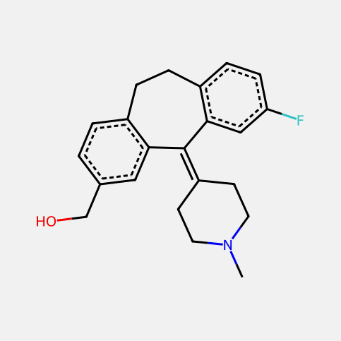 CN1CCC(=C2c3cc(F)ccc3CCc3ccc(CO)cc32)CC1